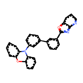 c1cc(-c2cccc(N3c4ccccc4Oc4ccccc43)c2)cc(-c2nc3ncccc3o2)c1